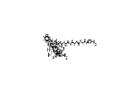 CCCCCCCCCCCCCCCCOC(C(=O)Nc1ccccc1)C(=O)C(C)(C)CS(=O)(=O)N(C)C